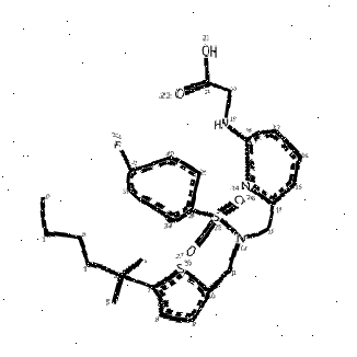 CCCCC(C)(C)c1ccc(CN(Cc2cccc(NCC(=O)O)n2)S(=O)(=O)c2ccc(F)cc2)s1